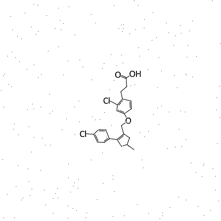 CC1CC(COc2ccc(CCC(=O)O)c(Cl)c2)=C(c2ccc(Cl)cc2)C1